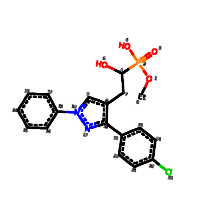 CCOP(=O)(O)C(O)Cc1cn(-c2ccccc2)nc1-c1ccc(Cl)cc1